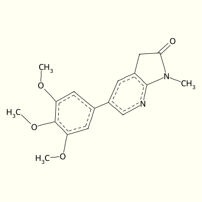 COc1cc(-c2cnc3c(c2)CC(=O)N3C)cc(OC)c1OC